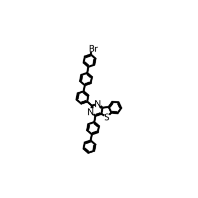 Brc1ccc(-c2ccc(-c3cccc(-c4nc(-c5ccc(-c6ccccc6)cc5)c5sc6ccccc6c5n4)c3)cc2)cc1